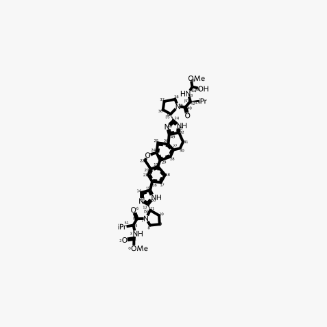 COC(=O)NC(C(=O)N1CCC[C@H]1c1ncc(-c2ccc3c(c2)COc2cc4c(cc2-3)CCc2[nH]c([C@@H]3CCCN3C(=O)[C@@H](NC(O)OC)C(C)C)nc2-4)[nH]1)C(C)C